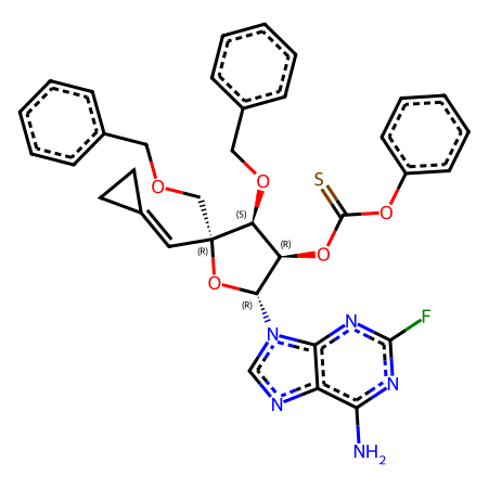 Nc1nc(F)nc2c1ncn2[C@@H]1O[C@](C=C2CC2)(COCc2ccccc2)[C@@H](OCc2ccccc2)[C@H]1OC(=S)Oc1ccccc1